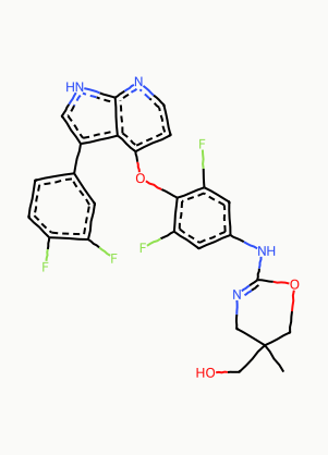 CC1(CO)CN=C(Nc2cc(F)c(Oc3ccnc4[nH]cc(-c5ccc(F)c(F)c5)c34)c(F)c2)OC1